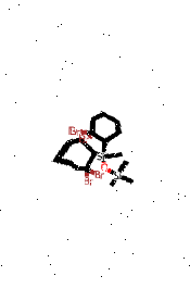 C[Si](C)(C)O[Si](C)(C1CCCCC1(Br)Br)C1CCCCC1(Br)Br